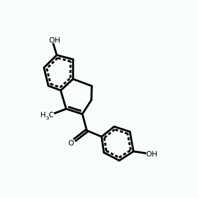 CC1=C(C(=O)c2ccc(O)cc2)CCc2cc(O)ccc21